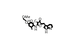 COCCOc1ccc(NC2=C(C(=O)O)C(=O)C(=Cc3c[nH]c4ncccc34)O2)c(C)c1